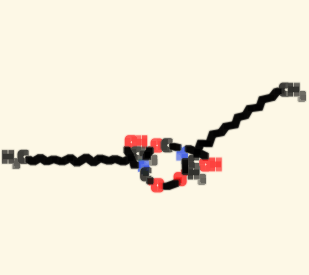 CCCCCCCCCCCCCCC(C)(CO)CN1CCOCCOCCN(CC(C)(CO)CCCCCCCCCCCCCC)CCOCC1